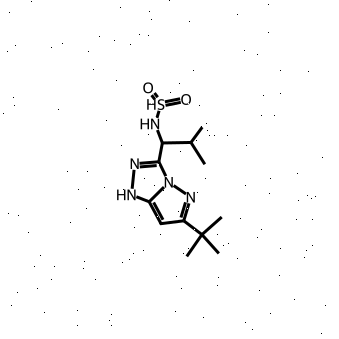 CC(C)C(N[SH](=O)=O)c1n[nH]c2cc(C(C)(C)C)nn12